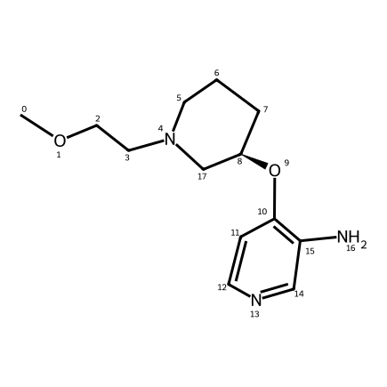 COCCN1CCC[C@@H](Oc2ccncc2N)C1